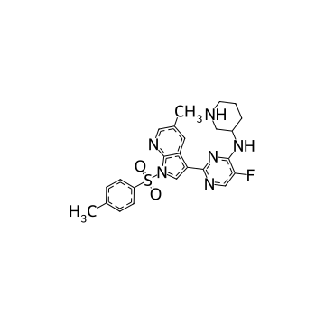 Cc1ccc(S(=O)(=O)n2cc(-c3ncc(F)c(NC4CCCNC4)n3)c3cc(C)cnc32)cc1